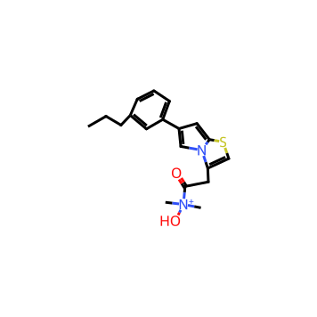 CCCc1cccc(-c2cc3scc(CC(=O)[N+](C)(C)O)n3c2)c1